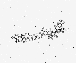 CCc1cc(Nc2ncc(Br)c(Nc3ccc4nc(C)ccc4c3P(C)(C)=O)n2)c(OC)cc1N1CCC(N2CCN(CCc3cccc4c3c(C)nn4C3CCC(=O)NC3=O)CC2)CC1